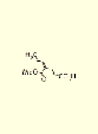 C=CC=C(CCC(=O)O)C(=O)OC